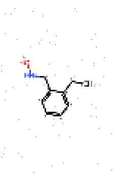 CCc1ccccc1CNO